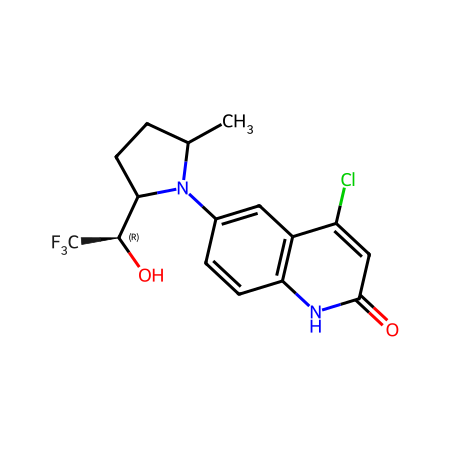 CC1CCC([C@@H](O)C(F)(F)F)N1c1ccc2[nH]c(=O)cc(Cl)c2c1